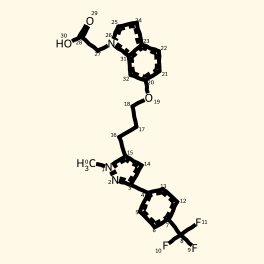 Cn1nc(-c2ccc(C(F)(F)F)cc2)cc1CCCOc1ccc2ccn(CC(=O)O)c2c1